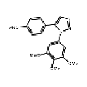 COc1ccc(-c2cnnn2-c2cc(OC)c(OC)c(OC)c2)cc1